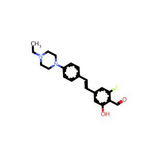 CCN1CCN(c2ccc(/C=C/c3cc(O)c(C=O)c(F)c3)cc2)CC1